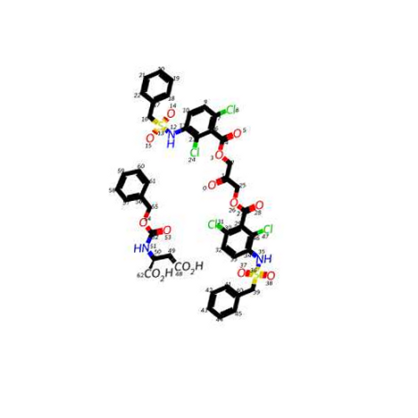 O=C(COC(=O)c1c(Cl)ccc(NS(=O)(=O)Cc2ccccc2)c1Cl)COC(=O)c1c(Cl)ccc(NS(=O)(=O)Cc2ccccc2)c1Cl.O=C(O)C[C@H](NC(=O)OCc1ccccc1)C(=O)O